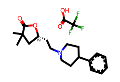 CC1(C)C[C@@H](CCN2CCC(c3ccccc3)CC2)OC1=O.O=C(O)C(F)(F)F